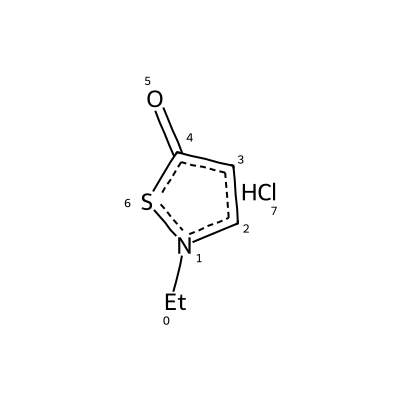 CCn1ccc(=O)s1.Cl